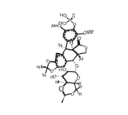 [2H]C1([2H])Oc2cc3c(cc2O1)[C@@]([2H])(c1cc(OC)c(OP(=O)(O)O)c(OC)c1)[C@H]1C(=O)OC[C@@H]1[C@@H]3O[C@@H]1O[C@H]2[C@@H](O[C@H](C)OC2([2H])[2H])[C@H](O)[C@H]1O